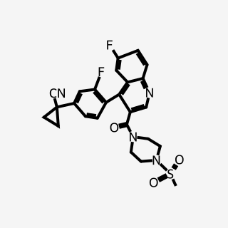 CS(=O)(=O)N1CCN(C(=O)c2cnc3ccc(F)cc3c2-c2ccc(C3(C#N)CC3)cc2F)CC1